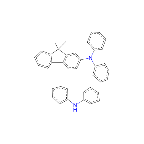 CC1(C)c2ccccc2-c2ccc(N(c3ccccc3)c3ccccc3)cc21.c1ccc(Nc2ccccc2)cc1